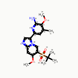 COc1cc2ncc(-c3cc(C)c(OC)c(N)n3)n2cc1S(=O)(=O)C(C)(C)C